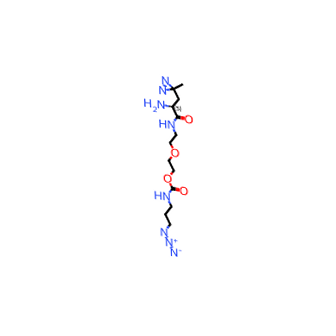 CC1(C[C@H](N)C(=O)NCCOCCOC(=O)NCCCN=[N+]=[N-])N=N1